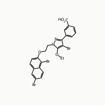 CCOc1c(Br)c(-c2cccc(C(=O)O)c2)nn1CCOc1ccc2cc(Br)ccc2c1Br